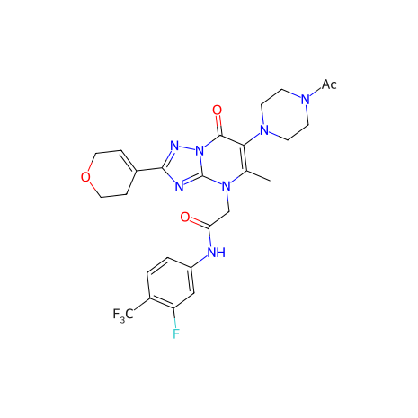 CC(=O)N1CCN(c2c(C)n(CC(=O)Nc3ccc(C(F)(F)F)c(F)c3)c3nc(C4=CCOCC4)nn3c2=O)CC1